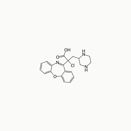 O=C(O)C(Cl)(CC1CNCCN1)C1=Nc2ccccc2Oc2ccccc21